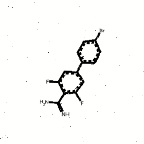 N=C(N)c1c(F)cc(-c2ccc(Br)cc2)cc1F